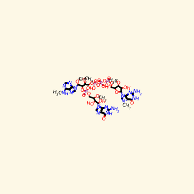 CNc1ncnc2c1ncn2C(OC)C(OP(=O)(O)OCC(OC)C(O)C(O)n1cnc2c(=O)[nH]c(N)nc21)C(COP(=O)(O)OP(=O)(O)OP(=O)(O)OCC1OC(n2c[n+](C)c3c(=O)[nH]c(N)nc32)C(O)C1OC)OC